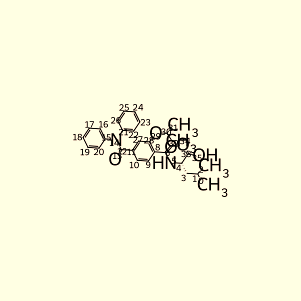 CC(C)C[C@H](NC(=O)c1ccc(C(=O)N(c2ccccc2)c2ccccc2)cc1OC(C)C)C(=O)O